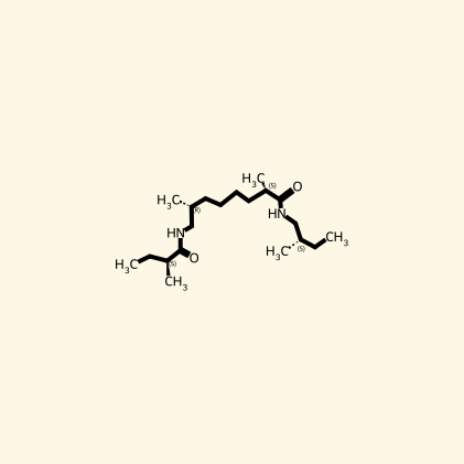 CC[C@H](C)CNC(=O)[C@@H](C)CCCC[C@@H](C)CNC(=O)[C@@H](C)CC